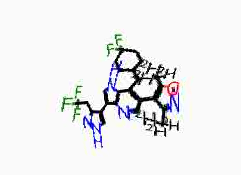 [2H]C([2H])([2H])c1noc(C([2H])([2H])[2H])c1-c1cnc2c(-c3c[nH]nc3CC(F)(F)F)c[nH]c2c1CC1CCC(F)(F)CC1